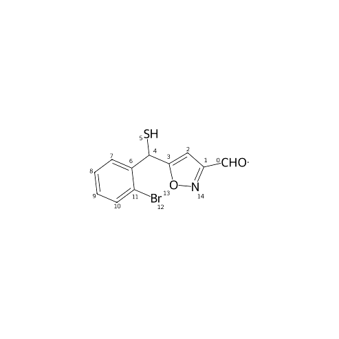 O=[C]c1cc(C(S)c2ccccc2Br)on1